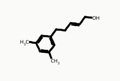 Cc1cc(C)cc(CCC=CCO)c1